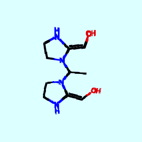 CC(N1CCNC1=CO)N1CCNC1=CO